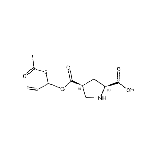 C=CC(OC(=O)[C@@H]1CN[C@H](C(=O)O)C1)SC(C)=O